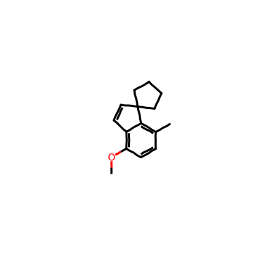 COc1ccc(C)c2c1C=CC21CCCC1